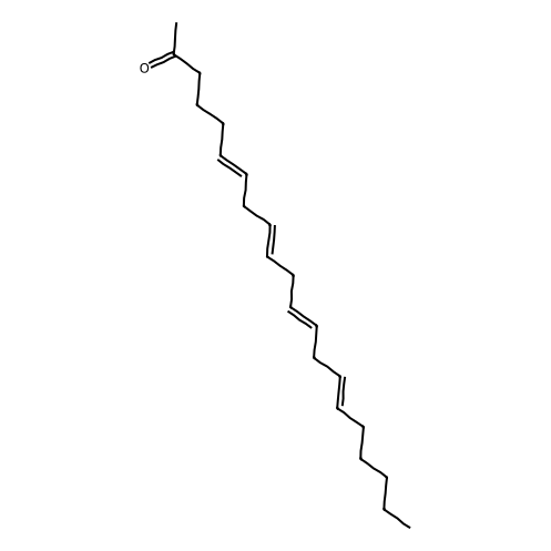 CCCCC/C=C/C/C=C/C/C=C/C/C=C/CCCC(C)=O